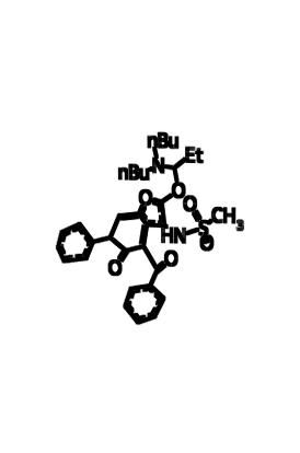 CCCCN(CCCC)C(CC)Oc1oc2c(c1NS(C)(=O)=O)=C(C(=O)c1ccccc1)C(=O)C(c1ccccc1)C=2